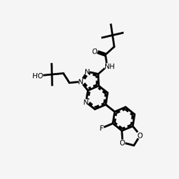 CC(C)(C)CC(=O)Nc1nn(CCC(C)(C)O)c2ncc(-c3ccc4c(c3F)OCO4)cc12